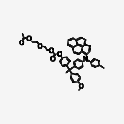 COc1ccc(C(C)(c2ccc(OC(=O)OCCOCCOC(C)=O)cc2)c2ccc(N(c3ccc(C)cc3)c3ccc4ccc5cccc6ccc3c4c56)cc2)cc1